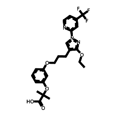 CCOc1nn(-c2cc(C(F)(F)F)ccn2)cc1CCCOc1cccc(OC(C)(C)C(=O)O)c1